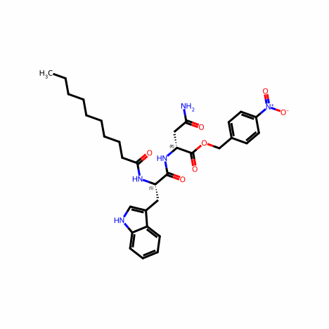 CCCCCCCCCC(=O)N[C@@H](Cc1c[nH]c2ccccc12)C(=O)N[C@H](CC(N)=O)C(=O)OCc1ccc([N+](=O)[O-])cc1